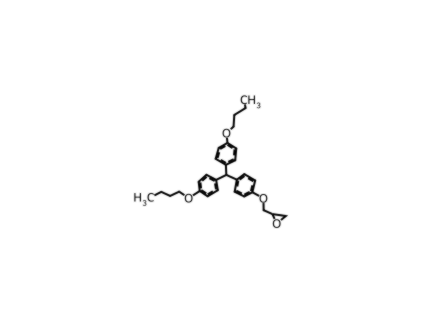 CCCCOc1ccc(C(c2ccc(OCCCC)cc2)c2ccc(OCC3CO3)cc2)cc1